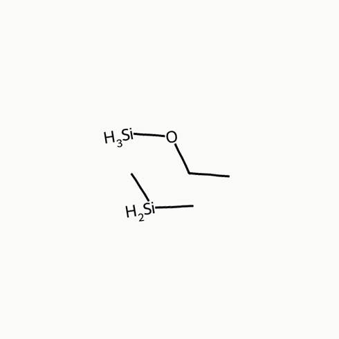 CCO[SiH3].C[SiH2]C